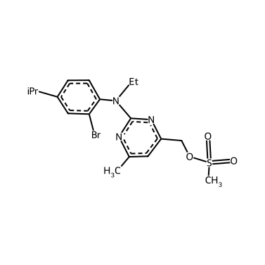 CCN(c1nc(C)cc(COS(C)(=O)=O)n1)c1ccc(C(C)C)cc1Br